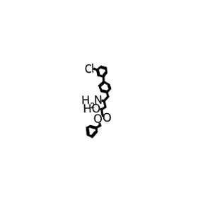 NC(Cc1ccc(-c2cccc(Cl)c2)cc1)CC(O)C(=O)OCc1ccccc1